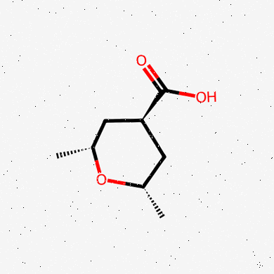 C[C@@H]1C[C@@H](C(=O)O)C[C@H](C)O1